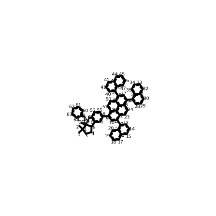 CC1(C)CCC2c3cc(-c4cc(-c5cccc6ccccc56)c5ccc6c(-c7cccc8ccccc78)cc(-c7cccc8ccccc78)c7ccc4c5c76)ccc3N(c3ccccc3)C21C